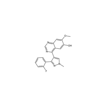 COc1cc2ncnc(-c3cn(C)nc3-c3ccccc3F)c2cc1O